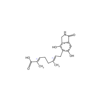 C/C(=C\Cc1c(O)cc2c(c1O)CNC2=O)CC/C=C(\C)C(=O)O